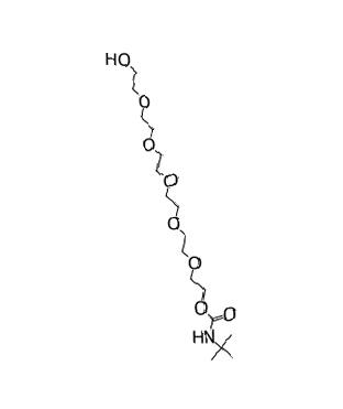 CC(C)(C)NC(=O)OCCOCCOCCOCCOCCOCCO